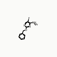 CC(C)Nc1nc(OCc2ccccc2)ncc1F